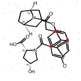 O=C(O)[C@H]1C[C@@H](O)CN1C(=O)c1cc(Cl)cnc1NCC(=O)N1[C@@H]2CC[C@H]1CC(Oc1ccc(F)cc1)C2